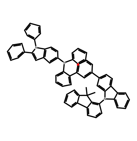 CC1(C)c2ccccc2-c2cccc(-n3c4ccccc4c4ccc(-c5cccc(-c6ccccc6N(c6ccccc6)c6ccc7c(c6)cc(-c6ccccc6)n7-c6ccccc6)c5)cc43)c21